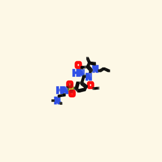 CCCn1cc(C)c2c(=O)[nH]c(-c3cc(S(=O)(=O)NCCN(C)C)ccc3OCC)nc21